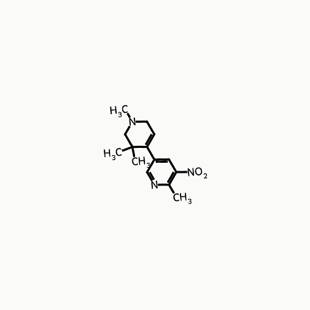 Cc1ncc(C2=CCN(C)CC2(C)C)cc1[N+](=O)[O-]